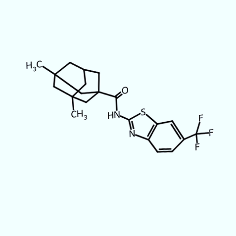 CC12CC3CC(C)(C1)CC(C(=O)Nc1nc4ccc(C(F)(F)F)cc4s1)(C3)C2